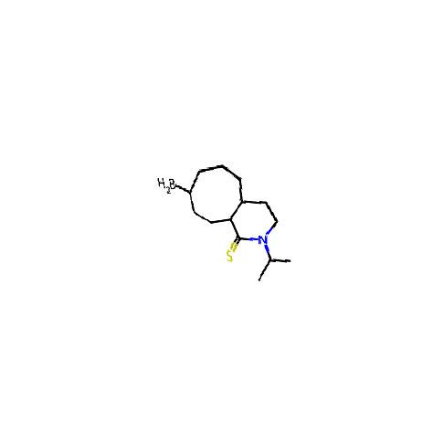 BC1CCCC2CCN(C(C)C)C(=S)C2CC1